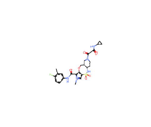 Cc1cc(NC(=O)c2c3c(cn2C)S(=O)(=O)NC2CCN(C(=O)C(=O)NC4CC4)CC2CO3)ccc1F